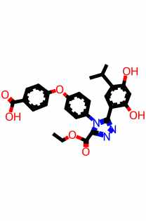 CCOC(=O)c1nnc(-c2cc(C(C)C)c(O)cc2O)n1-c1ccc(Oc2ccc(C(=O)O)cc2)cc1